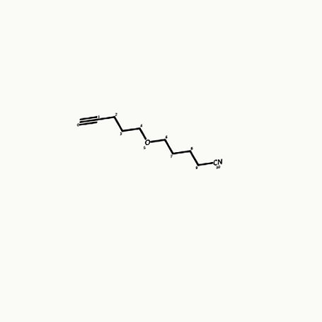 C#CCCCOCCCCC#N